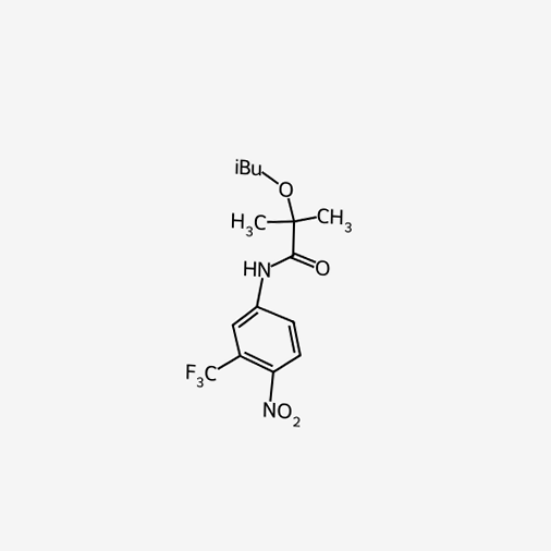 CCC(C)OC(C)(C)C(=O)Nc1ccc([N+](=O)[O-])c(C(F)(F)F)c1